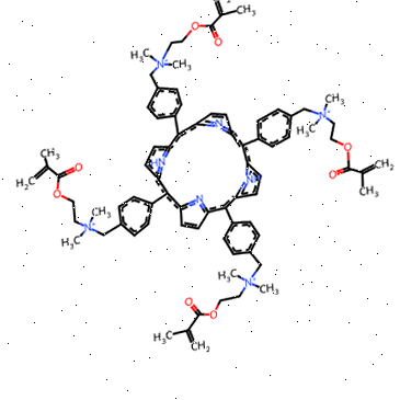 C=C(C)C(=O)OCC[N+](C)(C)Cc1ccc(-c2c3nc(c(-c4ccc(C[N+](C)(C)CCOC(=O)C(=C)C)cc4)c4ccc([nH]4)c(-c4ccc(C[N+](C)(C)CCOC(=O)C(=C)C)cc4)c4nc(c(-c5ccc(C[N+](C)(C)CCOC(=O)C(=C)C)cc5)c5ccc2[nH]5)C=C4)C=C3)cc1